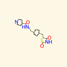 O=C1NC(=O)C(Cc2ccc(CCNC(=O)c3ccncc3)cc2)S1